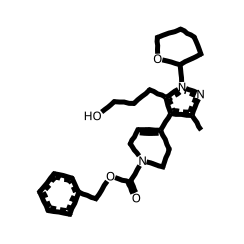 Cc1nn(C2CCCCO2)c(CCCO)c1C1=CCN(C(=O)OCc2ccccc2)CC1